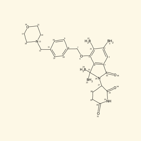 Bc1cc2c(c(OCc3ccc(CN4CCOCC4)cc3)c1B)C(B)(B)N(C1CCC(=O)NC1=O)C2=O